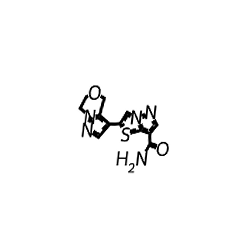 NC(=O)c1cnn2cc(-c3cnn4c3COCC4)sc12